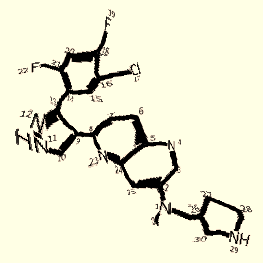 CN(c1cnc2ccc(-c3c[nH]nc3-c3cc(Cl)c(F)cc3F)nc2c1)C1CCNC1